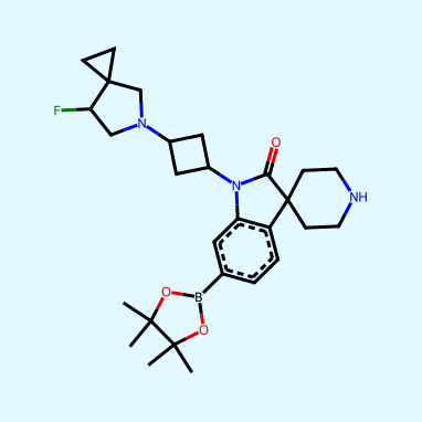 CC1(C)OB(c2ccc3c(c2)N(C2CC(N4CC(F)C5(CC5)C4)C2)C(=O)C32CCNCC2)OC1(C)C